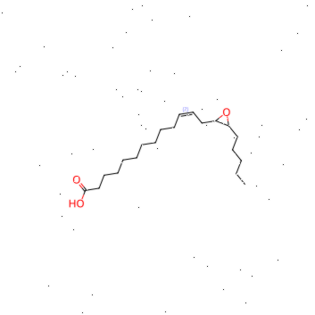 CCCCCC1OC1C/C=C\CCCCCCCCCC(=O)O